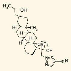 CCC[C@@]1(O)CC[C@@]2(C)[C@@H](CC[C@@H]3[C@@H]2CC[C@@]2(C)[C@H]3CCC[C@@H]2[C@](C)(O)Cn2cc(C#N)cn2)C1